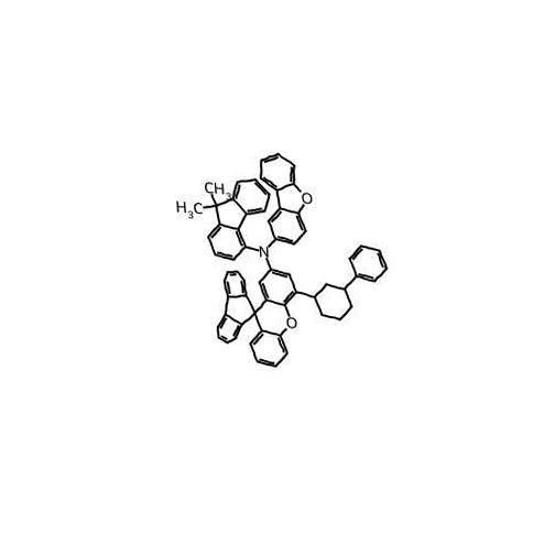 CC1(C)c2ccccc2-c2c(N(c3cc(C4CCCC(c5ccccc5)C4)c4c(c3)C3(c5ccccc5O4)c4ccccc4-c4ccccc43)c3ccc4oc5ccccc5c4c3)cccc21